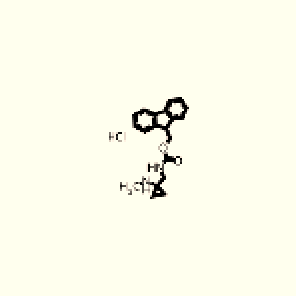 CNC1(CNC(=O)OCC2c3ccccc3-c3ccccc32)CC1.Cl